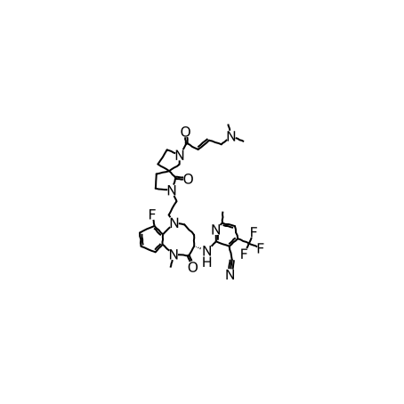 Cc1cc(C(F)(F)F)c(C#N)c(N[C@H]2CCN(CCN3CCC4(CCN(C(=O)/C=C/CN(C)C)C4)C3=O)c3c(F)cccc3N(C)C2=O)n1